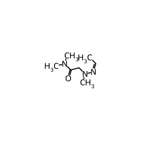 C/C=N\N(C)CC(=O)N(C)C